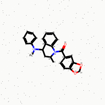 CC(=O)N(c1ccccc1)C1CC(C)N(C(=O)c2ccc3c(c2)OCO3)c2ccccc21